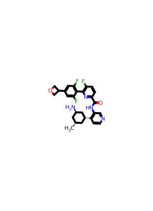 C[C@@H]1C[C@@H](N)C[C@H](c2ccncc2NC(=O)c2ccc(F)c(-c3c(F)cc(C4COC4)cc3F)n2)C1